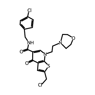 O=C(NCc1ccc(Cl)cc1)c1cn(CCN2CCOCC2)c2sc(CCl)cc2c1=O